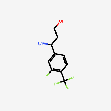 N[C@@H](CCO)c1ccc(C(F)(F)F)c(F)c1